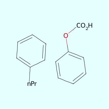 CCCc1ccccc1.O=C(O)Oc1ccccc1